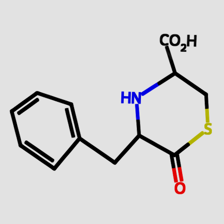 O=C(O)C1CSC(=O)C(Cc2ccccc2)N1